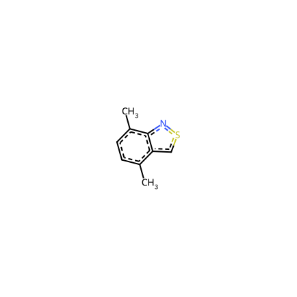 Cc1ccc(C)c2nscc12